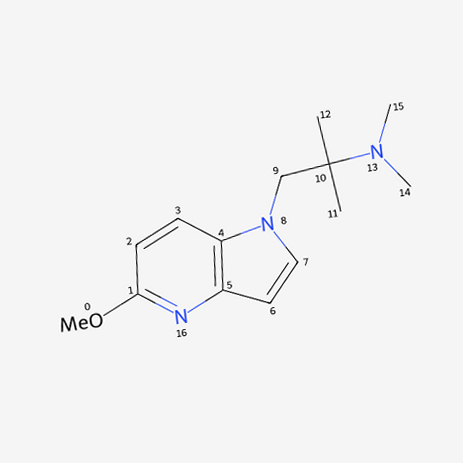 COc1ccc2c(ccn2CC(C)(C)N(C)C)n1